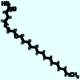 CCCCCCCCCCCCCCCOCC=C=CCCC(=O)O